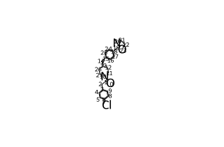 O=C(Cc1ccc(Cl)cc1)N1CCC(=Cc2ccc(C3=NCCO3)cc2)CC1